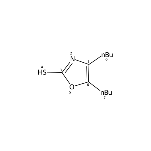 CCCCc1nc(S)oc1CCCC